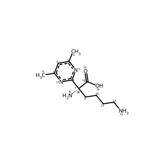 Cc1cc(C)nc([C@](N)(CCCCN)C(=O)O)n1